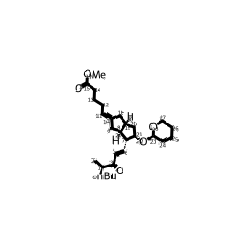 CCCC[C@@H](C)C(=O)C=C[C@@H]1[C@H]2CC(=CCCCC(=O)OC)C[C@@H]2C[C@H]1OC1CCCCO1